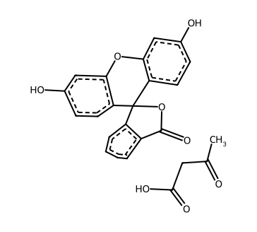 CC(=O)CC(=O)O.O=C1OC2(c3ccc(O)cc3Oc3cc(O)ccc32)c2ccccc21